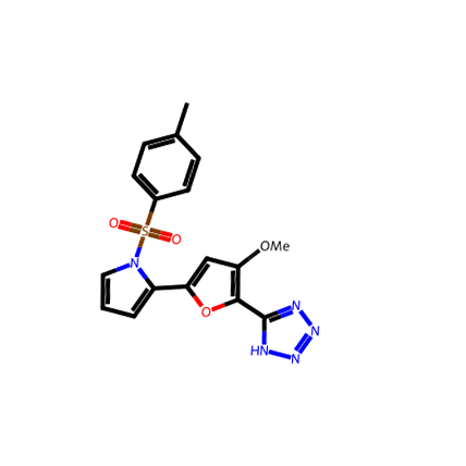 COc1cc(-c2cccn2S(=O)(=O)c2ccc(C)cc2)oc1-c1nnn[nH]1